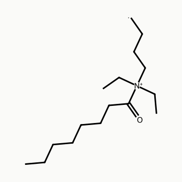 [CH2]CCC[N+](CC)(CC)C(=O)CCCCCCC